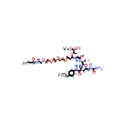 COC(O)CC[C@H](NC(=O)CCOCCOCCOCCOCCNC(=O)CCC(C)=O)C(=O)N[C@H](C(=O)N[C@@H](CCCNC(N)=O)C(=O)Nc1ccc(COC(C)=O)cc1)C(C)C